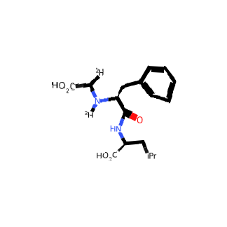 [2H]C(C(=O)O)N([2H])[C@@H](Cc1ccccc1)C(=O)N[C@@H](CC(C)C)C(=O)O